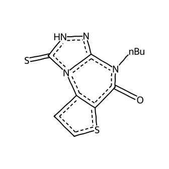 CCCCn1c(=O)c2sccc2n2c(=S)[nH]nc12